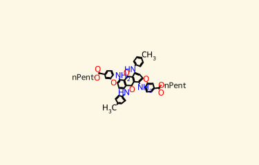 CCCCCOC(=O)c1cccc(Oc2cc(Nc3ccc(C)cc3)c3c(c2N)C(=O)c2c(Nc4ccc(C)cc4)cc(Oc4cccc(C(=O)OCCCCC)c4)c(N)c2C3=O)c1